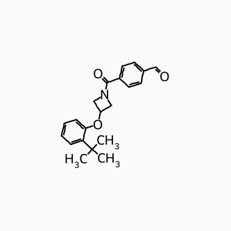 CC(C)(C)c1ccccc1OC1CN(C(=O)c2ccc(C=O)cc2)C1